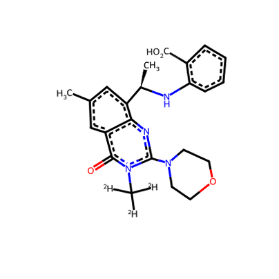 [2H]C([2H])([2H])n1c(N2CCOCC2)nc2c([C@@H](C)Nc3ccccc3C(=O)O)cc(C)cc2c1=O